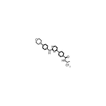 C[C@@H](NC(=O)c1ccc(-c2ccnc(Nc3ccc(N4CCOCC4)cc3)n2)cc1)C(F)(F)F